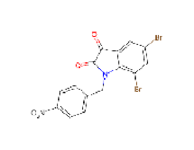 O=C1C(=O)N(Cc2ccc([N+](=O)[O-])cc2)c2c(Br)cc(Br)cc21